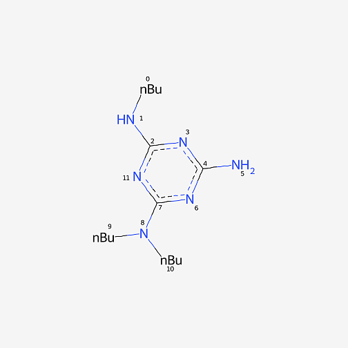 CCCCNc1nc(N)nc(N(CCCC)CCCC)n1